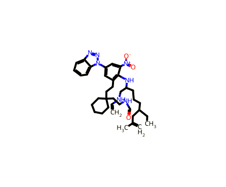 C=CNCC(CCCC(CC)CC(=C)C)Nc1c(CCC2(CCNC=O)CCCCC2)cc(-n2nnc3ccccc32)cc1[N+](=O)[O-]